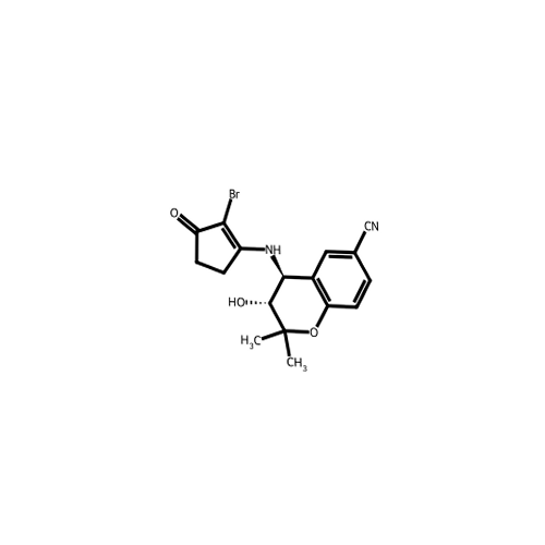 CC1(C)Oc2ccc(C#N)cc2[C@H](NC2=C(Br)C(=O)CC2)[C@H]1O